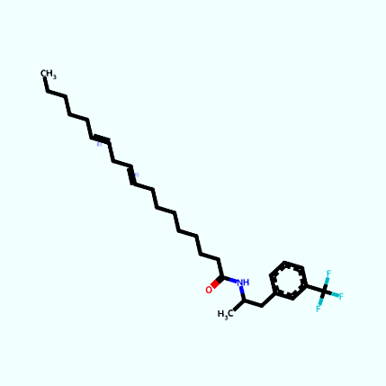 CCCCC/C=C/C/C=C/CCCCCCCC(=O)NC(C)Cc1cccc(C(F)(F)F)c1